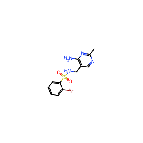 Cc1ncc(CNS(=O)(=O)c2ccccc2Br)c(N)n1